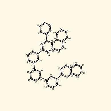 c1ccc(-c2nc(-c3cccc(-c4cccc(-c5cccc(-c6ccc7ccccc7c6)c5)c4)c3)nc3ccc4ccccc4c23)cc1